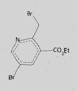 CCOC(=O)c1cc(Br)cnc1CBr